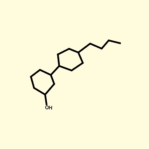 CCCCC1CCC(C2CCCC(O)C2)CC1